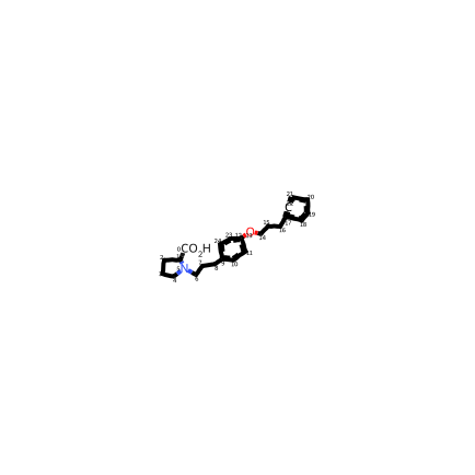 O=C(O)C1CCCN1CCCc1ccc(OCCCc2ccccc2)cc1